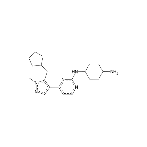 Cn1ncc(-c2ccnc(NC3CCC(N)CC3)n2)c1CC1CCCC1